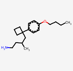 CCCCOc1ccc(C2(CC(C)CCN)CCC2)cc1